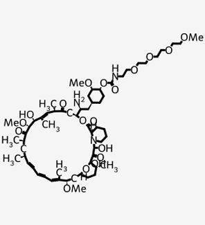 COCCOCCOCCOCCNC(=O)O[C@@H]1CC[C@@H](C[C@@H](N)[C@@H]2CC(=O)[C@H](C)/C=C(\C)[C@@H](O)[C@@H](OC)C(=O)[C@H](C)C[C@H](C)/C=C/C=C/C=C(\C)[C@@H](OC)C[C@@H]3CC[C@@H](C)[C@@](O)(O3)C(=O)C(O)N3CCCC[C@H]3C(=O)O2)C[C@H]1OC